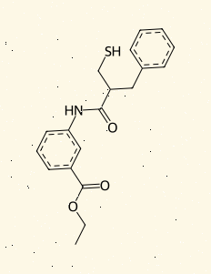 CCOC(=O)c1cccc(NC(=O)C(CS)Cc2ccccc2)c1